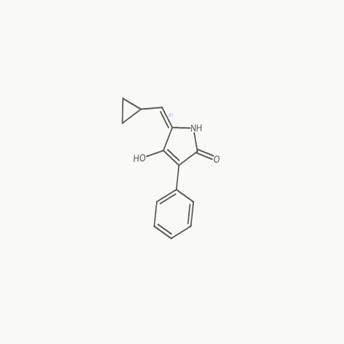 O=C1N/C(=C/C2CC2)C(O)=C1c1ccccc1